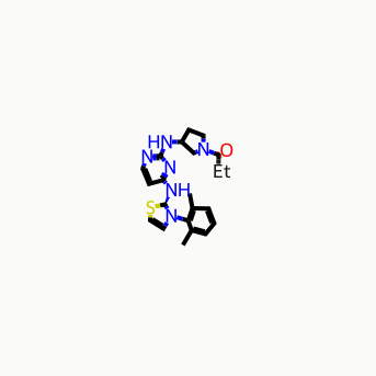 CCC(=O)N1CCC(Nc2nccc(N[C@@H]3SC=CN3c3c(C)cccc3C)n2)C1